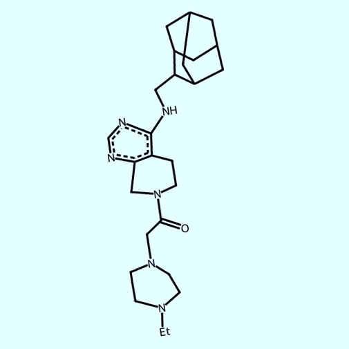 CCN1CCN(CC(=O)N2CCc3c(ncnc3NCC3C4CC5CC(C4)CC3C5)C2)CC1